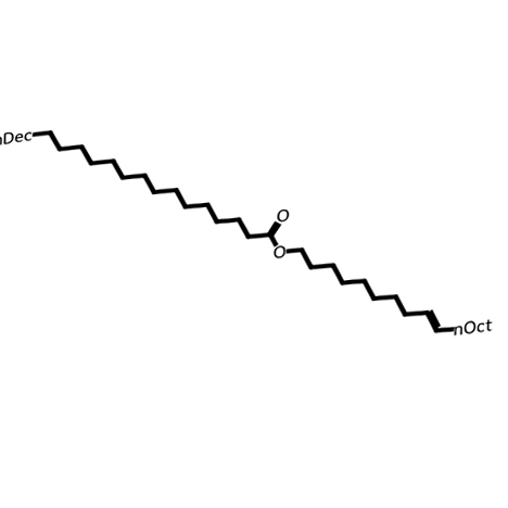 CCCCCCCC/C=C/CCCCCCCCOC(=O)CCCCCCCCCCCCCCCCCCCCCCCC